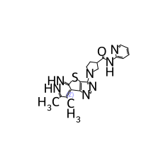 CC(=N)/C(C)=C1\C(=N)Sc2c1ncnc2N1CCC(C(=O)Nc2ccccn2)C1